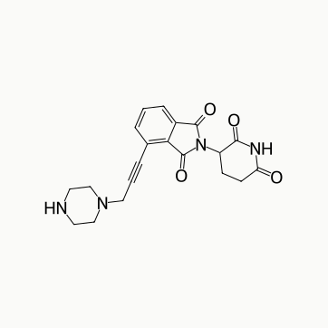 O=C1CCC(N2C(=O)c3cccc(C#CCN4CCNCC4)c3C2=O)C(=O)N1